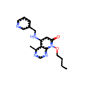 CCCCOn1c(=O)cc(NCc2cccnc2)c2c(C)ncnc21